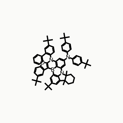 CC(C)(C)c1ccc(N(c2ccc(C(C)(C)C)cc2)c2cc3c4c(c2)N2c5c(cc(C(C)(C)C)cc5C5(C)CCCCC25C)B4c2c(oc4ccc(C(C)(C)C)cc24)N3c2ccc(C(C)(C)C)cc2-c2ccccc2)cc1